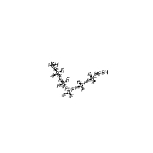 F.F.F.F[B-](F)(F)F.F[B-](F)(F)F.F[B-](F)(F)F.F[B-](F)(F)F.F[B-](F)(F)F.[KH]